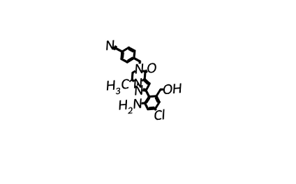 C[C@H]1CN(Cc2ccc(C#N)cc2)C(=O)c2cc(-c3c(N)cc(Cl)cc3CO)nn21